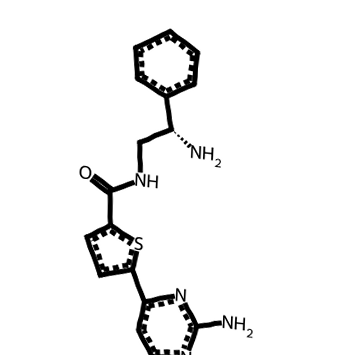 Nc1nccc(-c2ccc(C(=O)NC[C@@H](N)c3ccccc3)s2)n1